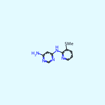 CSc1cccnc1Nc1cc(N)ncn1